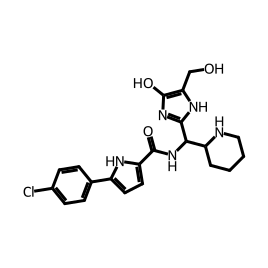 O=C(NC(c1nc(O)c(CO)[nH]1)C1CCCCN1)c1ccc(-c2ccc(Cl)cc2)[nH]1